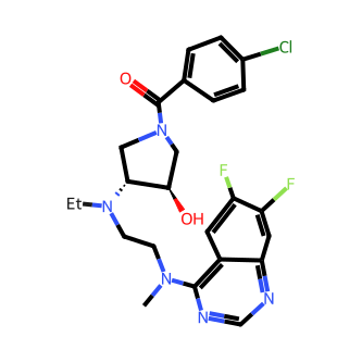 CCN(CCN(C)c1ncnc2cc(F)c(F)cc12)[C@@H]1CN(C(=O)c2ccc(Cl)cc2)C[C@H]1O